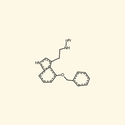 CCCNCCc1c[nH]c2cccc(OCc3ccccc3)c12